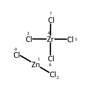 [Cl][Zn][Cl].[Cl][Zr]([Cl])([Cl])[Cl]